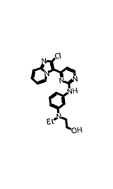 CCN(CCO)c1cccc(Nc2nccc(-c3c(Cl)nc4ccccn34)n2)c1